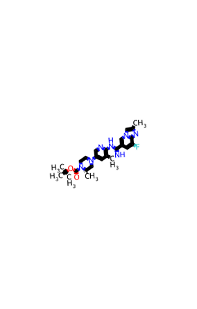 Cc1cn2cc(C(=N)Nc3ncc(N4CCN(C(=O)OC(C)(C)C)[C@@H](C)C4)cc3C)cc(F)c2n1